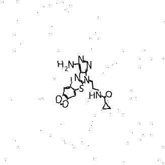 Nc1ncnc2c1nc(Sc1cc3c(cc1I)OCO3)n2CCCNC(=O)C1CC1